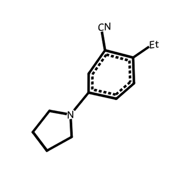 CCc1ccc(N2CCCC2)cc1C#N